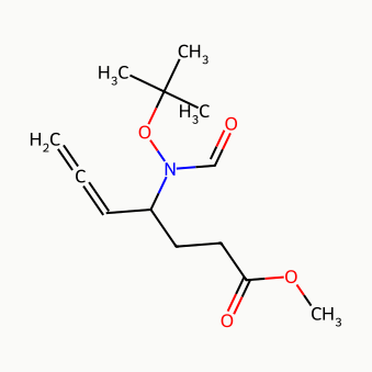 C=C=CC(CCC(=O)OC)N(C=O)OC(C)(C)C